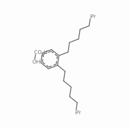 CC(C)CCCCCc1ccccc1CCCCCC(C)C.O=C(O)O